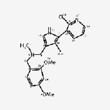 COc1ccc(CN(C)Cc2c[nH]c(-c3cccnc3Cl)c2F)c(OC)c1